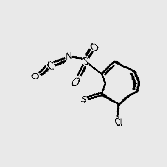 O=C=NS(=O)(=O)C1=CC=CC(Cl)C1=S